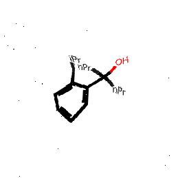 CCCC(O)(CCC)c1ccccc1C(C)C